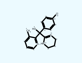 Cc1cccnc1C(O)(C1=NCCCN1)c1ccc(Cl)cc1